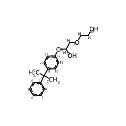 CC(C)(c1ccccc1)c1ccc(OC(O)COCCO)cc1